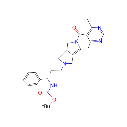 Cc1ncnc(C)c1C(=O)N1C=C2CN(CC[C@H](NC(=O)OC(C)(C)C)c3ccccc3)CC2C1